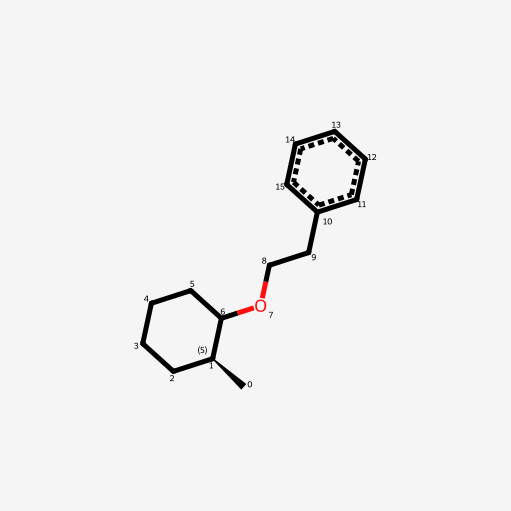 C[C@H]1CCCCC1OCCc1ccccc1